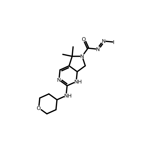 CC1(C)C2=CN=C(NC3CCOCC3)NC2CN1C(=O)N=NI